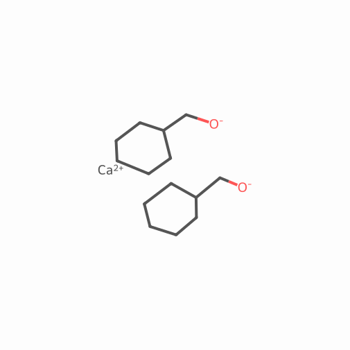 [Ca+2].[O-]CC1CCCCC1.[O-]CC1CCCCC1